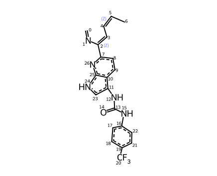 C=N/C(=C\C=C/C)c1ccc2c(NC(=O)Nc3ccc(C(F)(F)F)cc3)c[nH]c2n1